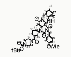 COc1ccc(Cn2c(=O)c3c(Nc4ccc(I)cc4F)n(C)c(=O)c(C)c3n(-c3cccc(C(=O)N4CCN(C(=O)OC(C)(C)C)CC4)c3)c2=O)cc1